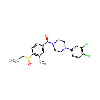 CCOC(=O)C[S+]([O-])c1ccc(C(=O)N2CCN(c3ccc(Cl)c(Cl)c3)CC2)cc1[N+](=O)[O-]